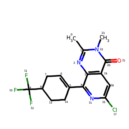 Cc1nc2c(C3=CCC(C(F)(F)F)CC3)nc(Cl)cc2c(=O)n1C